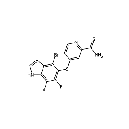 NC(=S)c1cc(Sc2c(F)c(F)c3[nH]ccc3c2Br)ccn1